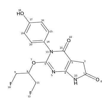 O=C1Cc2c(nc(OC(CF)CF)n(-c3ccc(O)cc3)c2=O)N1